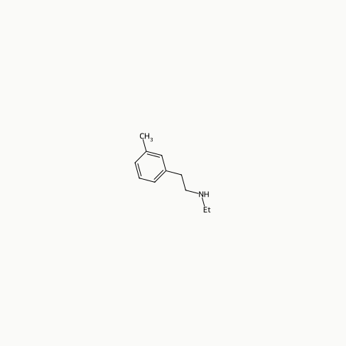 CCNCCc1cccc(C)c1